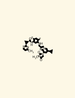 Cc1ccnc([C@H]2C[C@@H]2C(=O)Nc2cc(NCc3cn4cc(C5CC5)cc(N5CC(=O)N(C)C5=O)c4n3)c(F)cc2F)n1